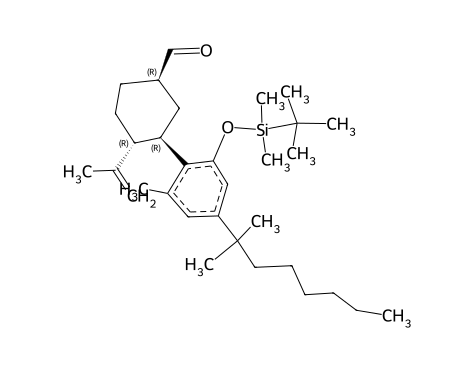 C=C(C)[C@@H]1CC[C@@H](C=O)C[C@H]1c1c(C)cc(C(C)(C)CCCCCC)cc1O[Si](C)(C)C(C)(C)C